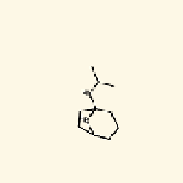 CC(C)BC12BC(CCC1)CC2